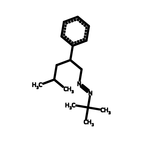 CC(C)CC(CN=NC(C)(C)C)c1ccccc1